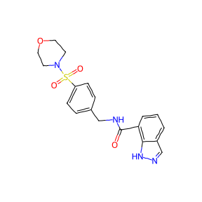 O=C(NCc1ccc(S(=O)(=O)N2CCOCC2)cc1)c1cccc2cn[nH]c12